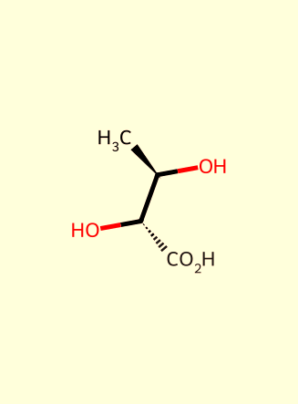 C[C@@H](O)[C@@H](O)C(=O)O